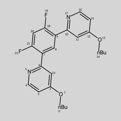 CCCCOc1ccnc(-c2cc(-c3cc(OCCCC)ccn3)c(F)cc2F)c1